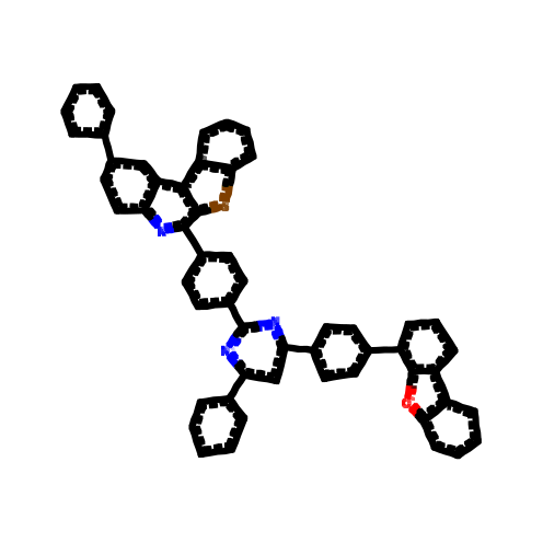 c1ccc(-c2ccc3nc(-c4ccc(-c5nc(-c6ccccc6)cc(-c6ccc(-c7cccc8c7oc7ccccc78)cc6)n5)cc4)c4sc5ccccc5c4c3c2)cc1